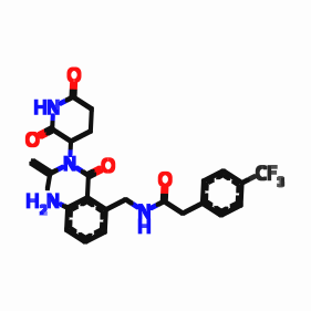 C=C(C)N(C(=O)c1c(N)cccc1CNC(=O)Cc1ccc(C(F)(F)F)cc1)C1CCC(=O)NC1=O